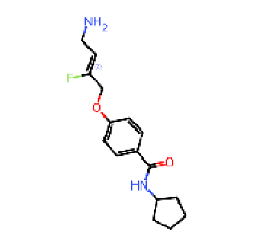 NC/C=C(\F)COc1ccc(C(=O)NC2CCCC2)cc1